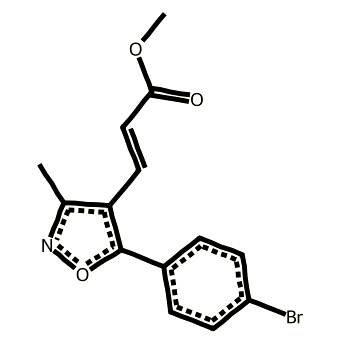 COC(=O)C=Cc1c(C)noc1-c1ccc(Br)cc1